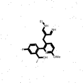 CCN/C=C(\C=N)Cc1ccc(OC)nc1-c1ccc(F)cc1[C@@H](C)O